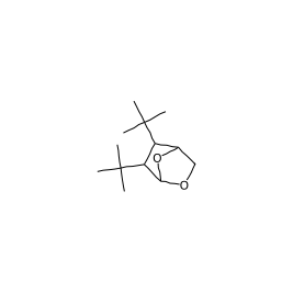 CC(C)(C)C1C2COC(O2)C1C(C)(C)C